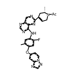 CC(=O)N1CC=C(c2ncc3ncnc(Nc4cc(C)c(Oc5ccn6ncnc6c5)cc4F)c3n2)C[C@@H]1C